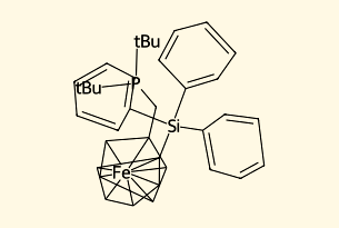 CC(C)(C)P(C[C]12[CH]3[CH]4[CH]5[CH]1[Fe]45321678[CH]2[CH]1[CH]6[C]7([Si](c1ccccc1)(c1ccccc1)c1ccccc1)[CH]28)C(C)(C)C